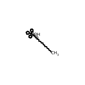 CCCCCCCCCCCCCCCCOC[C@H](O)COC(c1ccccc1)(c1ccccc1)c1ccccc1